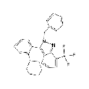 FC(F)(F)c1cccc2c(-c3ccccc3C3CCCCC3)n(Cc3ccccc3)nc12